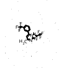 Cc1cc(-c2cccc(C(F)(F)F)c2)n2nc(C(F)(F)F)nc2n1